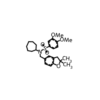 COc1ccc(S(=O)(=O)N(Cc2ccc3c(c2)CC(C)(C)O3)C2CCCCCC2)cc1OC